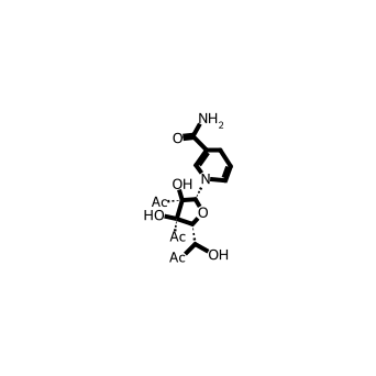 CC(=O)C(O)[C@H]1O[C@@H](N2C=CCC(C(N)=O)=C2)[C@@](O)(C(C)=O)[C@@]1(O)C(C)=O